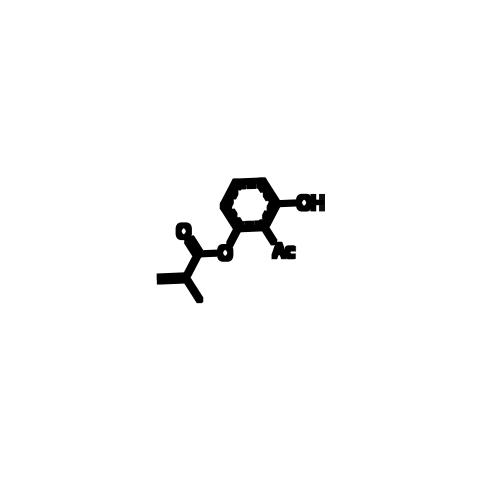 C=C(C)C(=O)Oc1cccc(O)c1C(C)=O